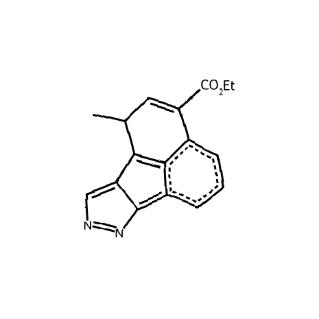 CCOC(=O)C1=CC(C)C2=c3c1cccc3=C1N=NC=C12